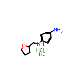 Cl.Cl.Nc1ccc(NCC2CCCO2)cc1